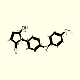 Cc1ccc(Oc2ccc(N3C(=O)C=CC3O)cc2)cc1